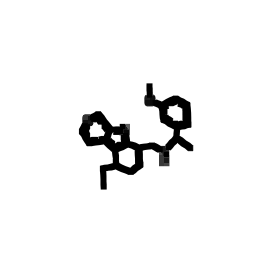 CCC1CC=C(CNC(C)c2cccc(OC)c2)c2nc3coccc-3c21